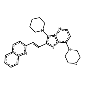 C(=Cc1nc2c(N3CCOCC3)ccnn2c1N1CCCCC1)c1ccc2ccccc2n1